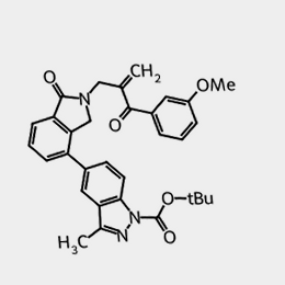 C=C(CN1Cc2c(cccc2-c2ccc3c(c2)c(C)nn3C(=O)OC(C)(C)C)C1=O)C(=O)c1cccc(OC)c1